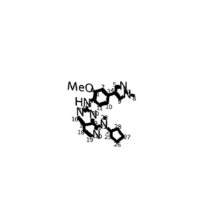 COc1cc(-c2cnn(C)c2)ccc1Nc1ncc2ccnc(N(C)C3CCCC3)c2n1